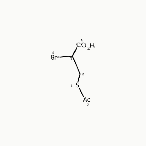 CC(=O)SCC(Br)C(=O)O